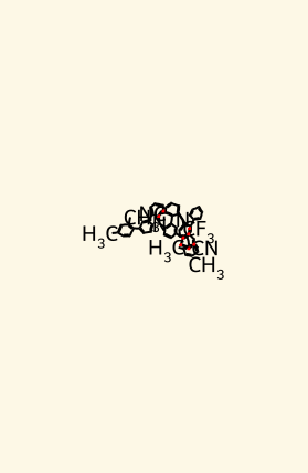 Cc1ccc(-c2ccc3c(c2)c2ccccc2n3-c2ccc(-c3ccc(C#N)cc3C(F)(F)F)cc2-c2c(C#N)cccc2-n2c3ccccc3c3cc(-c4ccc(C)cc4C)ccc32)c(C)c1